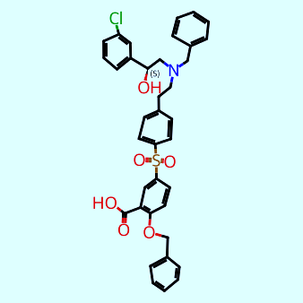 O=C(O)c1cc(S(=O)(=O)c2ccc(CCN(Cc3ccccc3)C[C@@H](O)c3cccc(Cl)c3)cc2)ccc1OCc1ccccc1